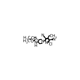 CCc1c(C#N)c(Cl)nc(N2CCC(NC(=O)OC(C)(C)C)CC2)c1C#N